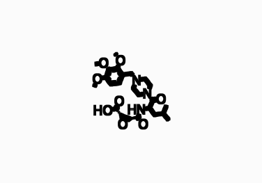 COc1ccc(CN2CCN(C(=O)C(CC(C)C)NC(=O)[C@H]3O[C@@H]3C(=O)O)CC2)c(OC)c1OC